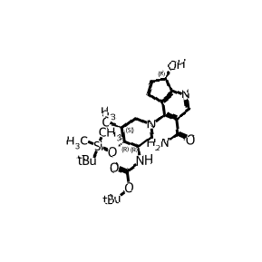 C[C@H]1CN(c2c(C(N)=O)cnc3c2CC[C@H]3O)C[C@@H](NC(=O)OC(C)(C)C)[C@@H]1O[Si](C)(C)C(C)(C)C